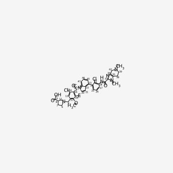 COc1c(CN2CCC(C(=O)O)C2)cc(Cl)c([S+]([O-])n2ccc3c(-c4cccc(NC(=O)c5nc6c(n5C)CCN(C)C6)c4Cl)cccc32)c1F